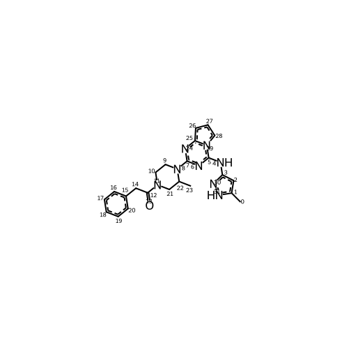 Cc1cc(Nc2nc(N3CCN(C(=O)Cc4ccccc4)CC3C)nc3cccn23)n[nH]1